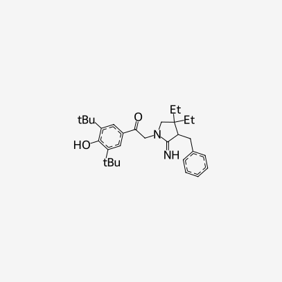 CCC1(CC)CN(CC(=O)c2cc(C(C)(C)C)c(O)c(C(C)(C)C)c2)C(=N)C1Cc1ccccc1